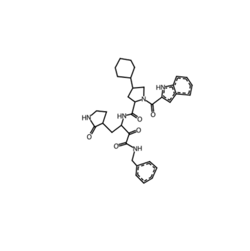 O=C(NCc1ccccc1)C(=O)C(CC1CCNC1=O)NC(=O)C1CC(C2CCCCC2)CN1C(=O)c1cc2ccccc2[nH]1